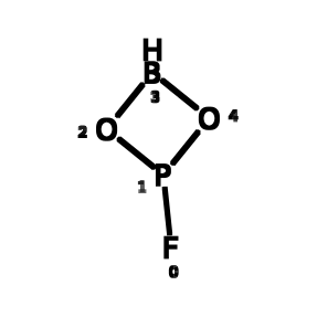 FP1OBO1